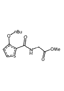 CCCCOc1ccsc1C(=O)NCC(=O)OC